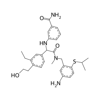 CCc1cc(C(Nc2cccc(C(N)=O)c2)C(=O)N(C)Cc2cc(N)ccc2SC(C)C)ccc1CCO